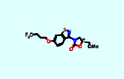 COC[C@@H]1CN(c2nsc3cc(OCCCC(F)(F)F)ccc23)C(=O)O1